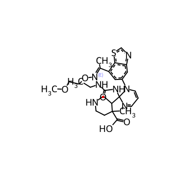 CCNC(=O)NC1(C2CNCCC2(C)C(=O)O)N=CC=CN1c1cc(/C(C)=N/OCCOC)c2scnc2c1